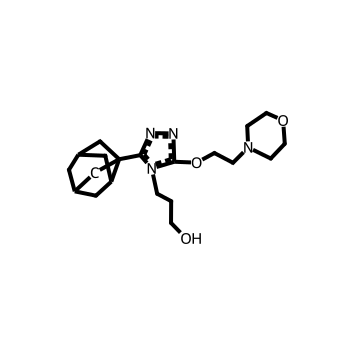 OCCCn1c(OCCN2CCOCC2)nnc1C12CC3CC(CC1C3)C2